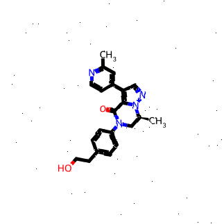 Cc1cc(-c2cnn3c2C(=O)N(c2ccc(CCO)cc2)C[C@@H]3C)ccn1